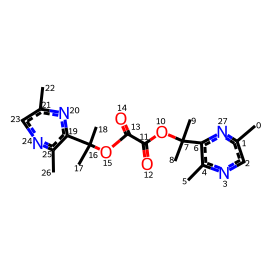 Cc1cnc(C)c(C(C)(C)OC(=O)C(=O)OC(C)(C)c2nc(C)cnc2C)n1